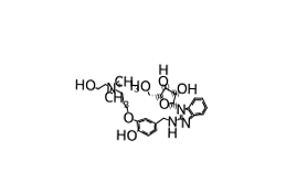 C[N+](C)(CCO)CCCOc1cc(CNc2nc3ccccc3n2[C@@H]2O[C@H](CO)[C@@H](O)[C@H]2O)ccc1O